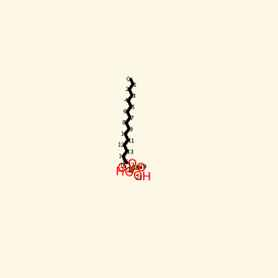 CCCCCCCCCCCCCCCC(=O)OP(=O)(O)O